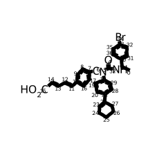 CC(NC(=O)N(Cc1ccc(C=CC=CC(=O)O)cc1)c1ccc(C2=CCCCC2)cc1)c1ccc(Br)cc1